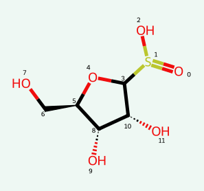 O=S(O)C1O[C@H](CO)[C@@H](O)[C@H]1O